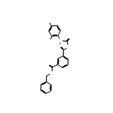 O=C(OCc1ccccc1)c1cccc(-c2nn(-c3ccc(F)cc3F)c(=O)o2)c1